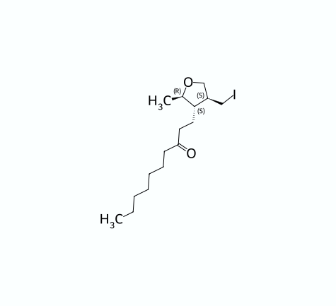 CCCCCCCC(=O)CC[C@H]1[C@H](CI)CO[C@@H]1C